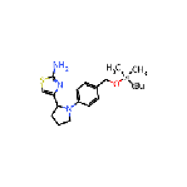 CC(C)(C)[Si](C)(C)OCc1ccc(N2CCCC2c2csc(N)n2)cc1